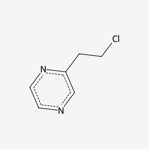 ClCCc1cnccn1